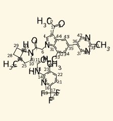 CC(=O)c1cn(CC(=O)N2[C@H](C(=O)Nc3nc(C(F)(F)F)ccc3C)C[C@@]3(C)CC[C@@H]23)c2c(C)cc(-c3cnc(C)nc3)cc12